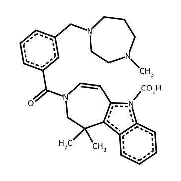 CN1CCCN(Cc2cccc(C(=O)N3C=Cc4c(c5ccccc5n4C(=O)O)C(C)(C)C3)c2)CC1